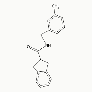 Cc1cccc(CNC(=O)C2Cc3ccccc3C2)c1